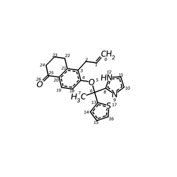 C=CCc1c(OC(C)(c2ncc[nH]2)c2cccs2)ccc2c1CCCC2=O